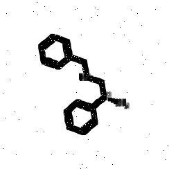 B[C@@H](CNCc1ccccc1)c1ccccc1